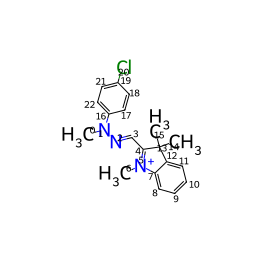 CN(/N=C/C1=[N+](C)c2ccccc2C1(C)C)c1ccc(Cl)cc1